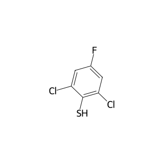 Fc1cc(Cl)c(S)c(Cl)c1